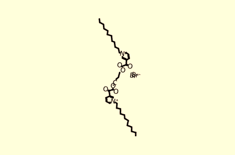 CCCCCCCCCCCC[n+]1cccc(C(=O)C(=O)OCCCCOC(=O)C(=O)c2ccc[n+](CCCCCCCCCCCC)c2)c1.[Br-].[Br-]